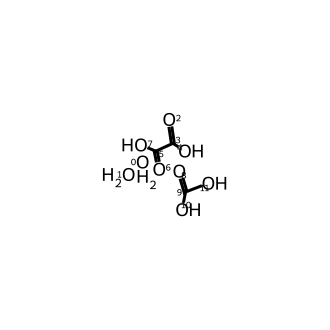 O.O.O=C(O)C(=O)O.O=C(O)O